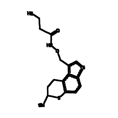 CC(C)(C)C1CCc2c(ccc3scc(CONC(=O)CCS)c23)S1